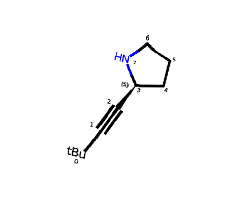 CC(C)(C)C#C[C@@H]1CCCN1